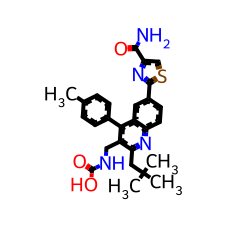 Cc1ccc(-c2c(CNC(=O)O)c(CC(C)(C)C)nc3ccc(-c4nc(C(N)=O)cs4)cc23)cc1